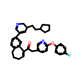 O=C(Cc1ccc(Oc2ccc(F)cc2)nc1)C1=CCCCc2ccc(C3=CC(CCC4CCCC4)CN=C3)cc21